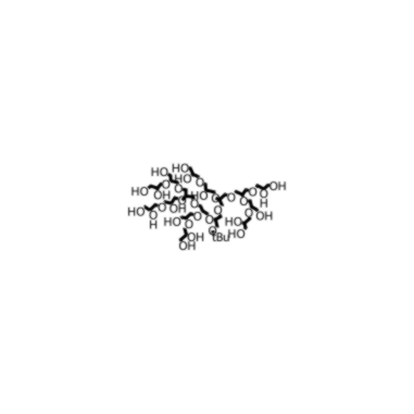 CC(C)(C)OCC(COCC(COCC(COCC(O)CO)OCC(CO)OCC(O)CO)OCC(O)COCC(O)CO)OCC(COCC(COCC(CO)OCC(O)CO)OCC(O)COCC(O)CO)OCC(CO)OCC(O)CO